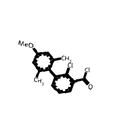 COc1cc(C)c(-c2cccc(C(=O)Cl)c2Cl)c(C)c1